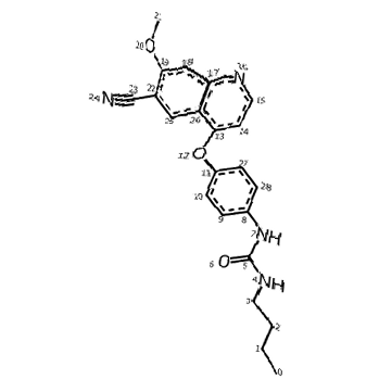 CCCCNC(=O)Nc1ccc(Oc2ccnc3cc(OC)c(C#N)cc23)cc1